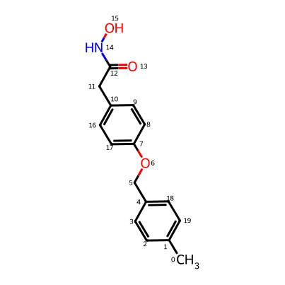 Cc1ccc(COc2ccc(CC(=O)NO)cc2)cc1